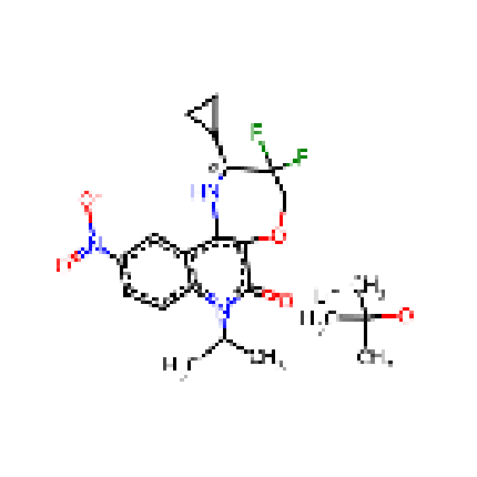 CC(C)(C)[O-].CC(C)n1c(=O)c2c(c3cc([N+](=O)[O-])ccc31)N[C@@H](C1CC1)C(F)(F)CO2.[Li+]